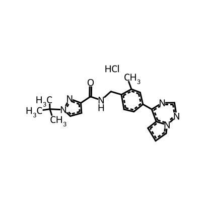 Cc1cc(-c2ncnn3cccc23)ccc1CNC(=O)c1ccn(C(C)(C)C)n1.Cl